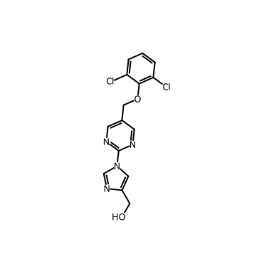 OCc1cn(-c2ncc(COc3c(Cl)cccc3Cl)cn2)cn1